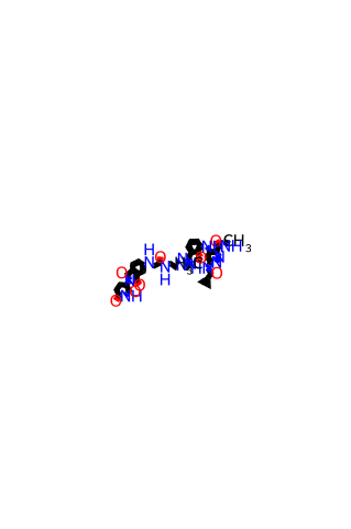 CNC(=O)c1nnc(NC(=O)C2CC2)cc1Nc1cccc(-c2ncn(CCNC(=O)CNc3ccc4c(c3)C(=O)N(C3CCC(=O)NC3=O)C4=O)n2)c1OC